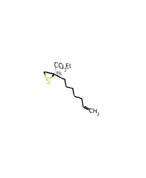 C=CCCCCC[C@]1(C(=O)OCC)CS1